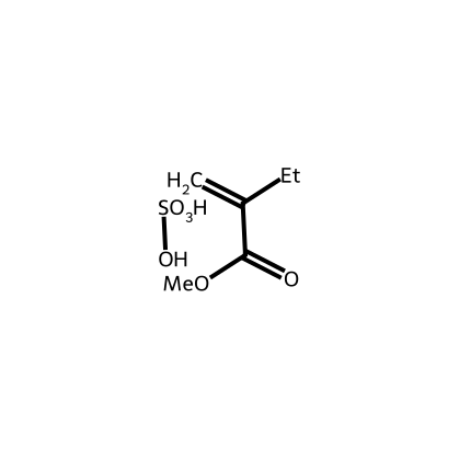 C=C(CC)C(=O)OC.O=S(=O)(O)O